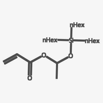 C=CC(=O)OC(C)O[Si](CCCCCC)(CCCCCC)CCCCCC